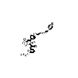 C=C(NC(CCC)c1ccc(OCCOCCN2CC[S+]([O-])CC2)cc1)/C(C#N)=C/c1cccc(C)n1